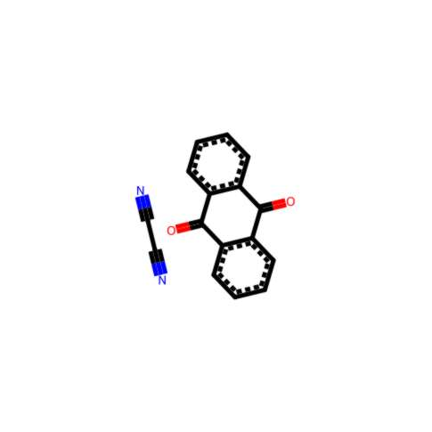 N#CC#N.O=C1c2ccccc2C(=O)c2ccccc21